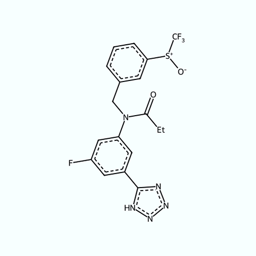 CCC(=O)N(Cc1cccc([S+]([O-])C(F)(F)F)c1)c1cc(F)cc(-c2nnn[nH]2)c1